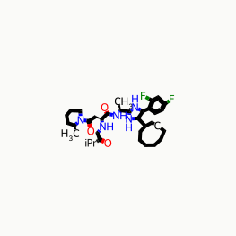 CC(C)C(=O)CN[C@@H](CC(=O)N1CCCC[C@@H]1C)C(=O)N[C@@H](C)C1NC(c2ccc(F)cc2F)C(C2CCCCCCCC2)N1